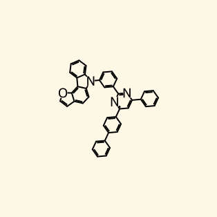 c1ccc(-c2ccc(-c3cc(-c4ccccc4)nc(-c4cccc(-n5c6ccccc6c6c7occc7ccc65)c4)n3)cc2)cc1